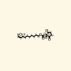 CCCCCCCC/C=C\CCCCCCCCOC(=O)O[N+]1(O)C(=O)CCC1=O